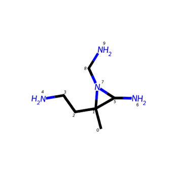 CC1(CCN)C(N)N1CN